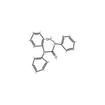 O=[C]N(C(=O)N(c1ccccc1)c1ccccc1)c1ccccc1